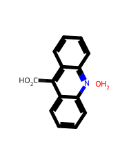 O.O=C(O)c1c2ccccc2nc2ccccc12